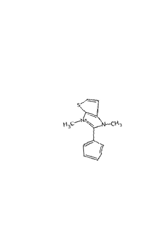 Cn1c(-c2ccccc2)[n+](C)c2sccc21